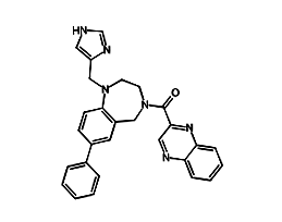 O=C(c1cnc2ccccc2n1)N1CCN(Cc2c[nH]cn2)c2ccc(-c3ccccc3)cc2C1